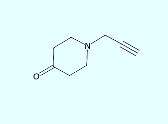 C#CCN1CCC(=O)CC1